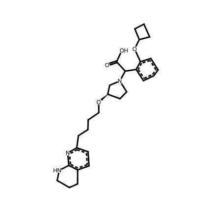 O=C(O)C(c1ccccc1OC1CCC1)N1CC[C@@H](OCCCCc2ccc3c(n2)NCCC3)C1